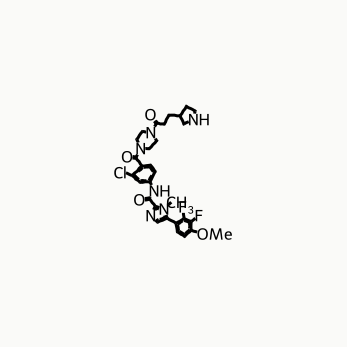 COc1ccc(-c2cnc(C(=O)Nc3ccc(C(=O)N4CCN(C(=O)CCC5CCNC5)CC4)c(Cl)c3)n2C)c(F)c1F